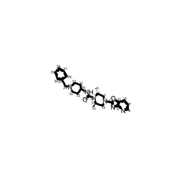 C[C@@H]1CN(c2nc3ncccc3o2)C[C@@H](C)N1C(=O)NC1CCN(Cc2ccccc2)CC1